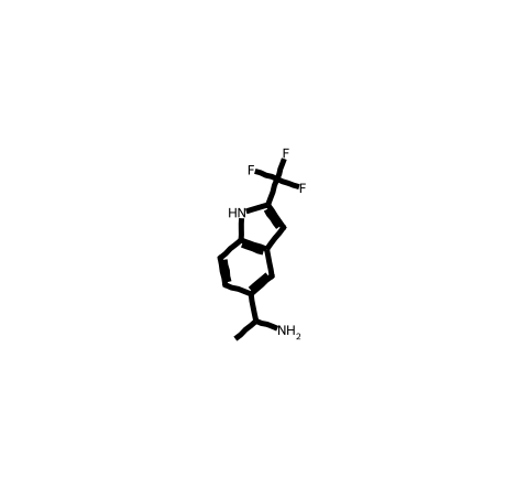 CC(N)c1ccc2[nH]c(C(F)(F)F)cc2c1